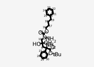 CC(C)(C)OC(=O)C(N)(CC(O)(O)CN(N)C(=O)OCCCCc1ccccc1)c1ccccc1